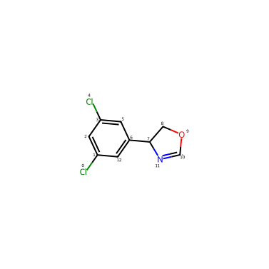 Clc1cc(Cl)cc(C2CO[C]=N2)c1